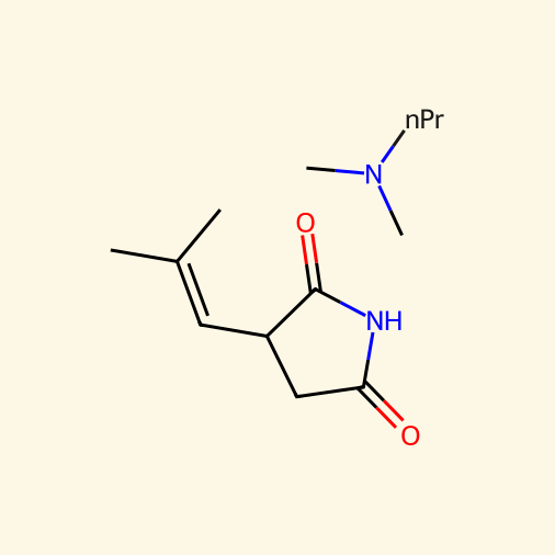 CC(C)=CC1CC(=O)NC1=O.CCCN(C)C